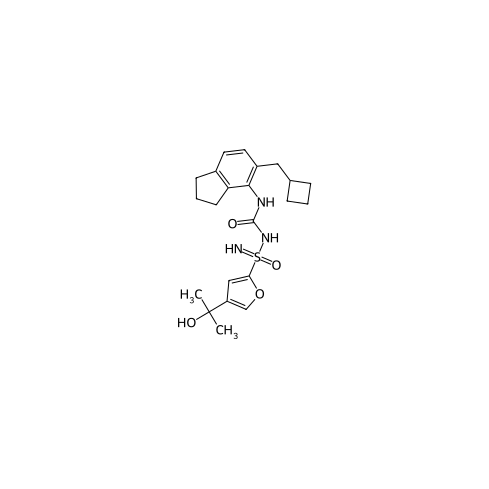 CC(C)(O)c1coc(S(=N)(=O)NC(=O)Nc2c(CC3CCC3)ccc3c2CCC3)c1